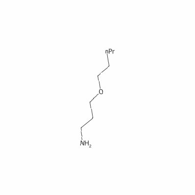 [CH2]CCCCOCCCN